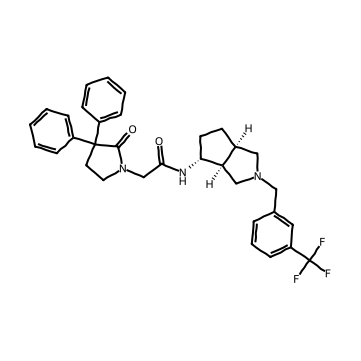 O=C(CN1CCC(c2ccccc2)(c2ccccc2)C1=O)N[C@@H]1CC[C@H]2CN(Cc3cccc(C(F)(F)F)c3)C[C@H]21